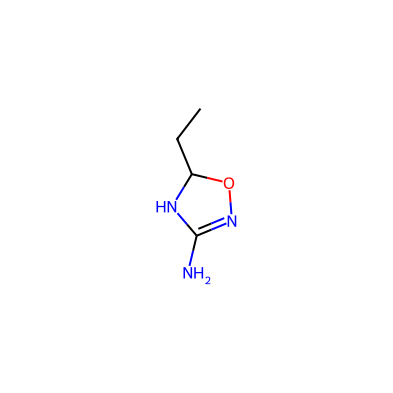 CCC1NC(N)=NO1